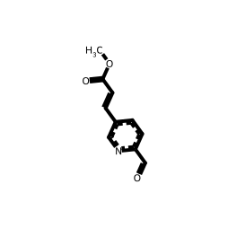 COC(=O)C=Cc1ccc(C=O)nc1